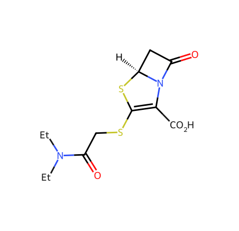 CCN(CC)C(=O)CSC1=C(C(=O)O)N2C(=O)C[C@@H]2S1